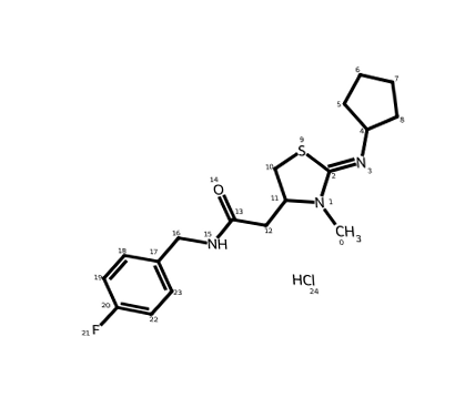 CN1/C(=N/C2CCCC2)SCC1CC(=O)NCc1ccc(F)cc1.Cl